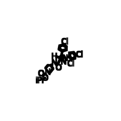 Cc1c(C(=O)NC2CCN(C(=O)OC(C)C)CC2)nn(-c2ccc(Cl)cc2Cl)c1-c1ccc(Cl)cc1